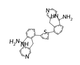 N=C(N)c1cccc(-c2ccc(-c3cccc(C(=N)N)c3Cc3cccnc3)s2)c1Cc1cccnc1